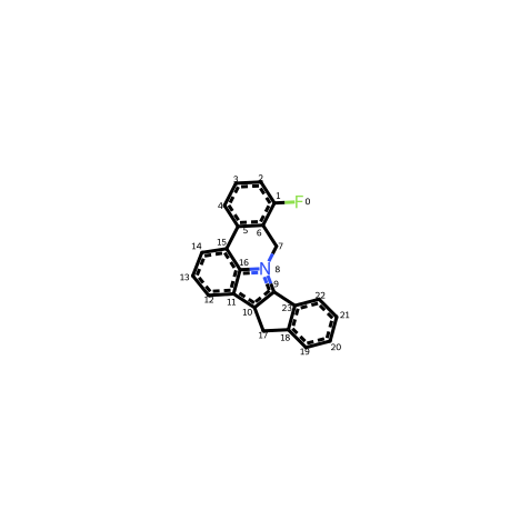 Fc1cccc2c1Cn1c3c(c4cccc-2c41)Cc1ccccc1-3